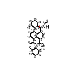 C=CNC(=C)c1ccc2c(=O)n(-c3c(C)cccc3C)c(=C)c3ccc(C4=C(C)CCC=C4C)c1c32